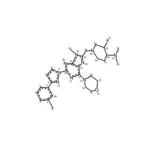 Cc1cccc(-c2ccn(-c3nc(N4CCOCC4)c4nc(CN5CCC(N(C)C)C(F)C5)n(C)c4n3)n2)c1